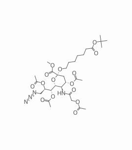 COC(=O)[C@@]1(OCCCCCCC(=O)OC(C)(C)C)C[C@H](OC(C)=O)[C@@H](NC(=O)COC(C)=O)[C@H]([C@H](OC(C)=O)[C@@H](CN=[N+]=[N-])OC(C)=O)O1